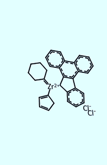 C1=CC[C]([Zr+2](=[C]2CCCCC2)[CH]2c3ccccc3-c3c2c2ccccc2c2ccccc32)=C1.[Cl-].[Cl-]